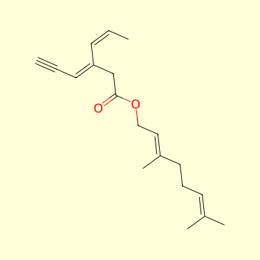 C#C/C=C(\C=C/C)CC(=O)OC/C=C(\C)CCC=C(C)C